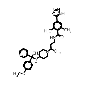 COc1ccc(C(C)(NC2CCN(C(C)CCNC(=O)c3c(C)cc(-c4nnn[nH]4)cc3C)CC2)c2cccnc2)cc1